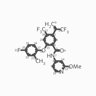 C=C(c1cc(C(=O)Nc2ccnc(OC)c2)c(Oc2ccc(F)cc2C)cc1C(F)(F)F)C(F)(F)F